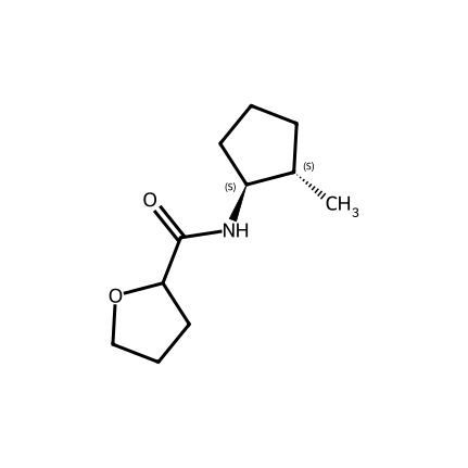 C[C@H]1CCC[C@@H]1NC(=O)C1CCCO1